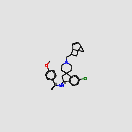 COc1ccc([C@H](C)N[C@H]2CC3(CCN(CC4CC56CC5C=CC46)CC3)c3cc(Cl)ccc32)cc1